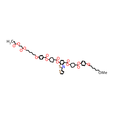 C=CC(=O)OCCC(=O)OCCCCCCOc1ccc(C(=O)OC2CCC(C(=O)Oc3ccc(C(=O)OC4CCC(C(=O)Oc5ccc(OCCCCCCOC)cc5)CC4)c4nc(-c5cccs5)sc34)CC2)cc1